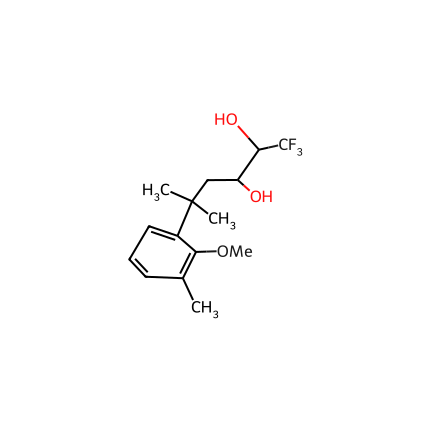 COc1c(C)cccc1C(C)(C)CC(O)C(O)C(F)(F)F